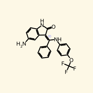 Nc1ccc2c(c1)/C(=C(/Nc1ccc(OC(F)(F)F)cc1)c1ccccc1)C(=O)N2